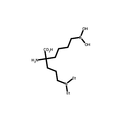 CCN(CC)CCCC(N)(CCCCB(O)O)C(=O)O